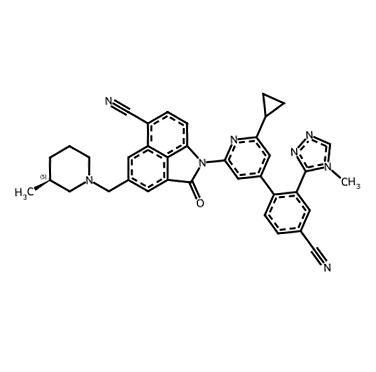 C[C@H]1CCCN(Cc2cc3c4c(ccc(C#N)c4c2)N(c2cc(-c4ccc(C#N)cc4-c4nncn4C)cc(C4CC4)n2)C3=O)C1